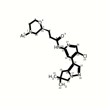 CC(=O)N1CCO[C@@H](CCC(=O)Nc2cc(-c3cnn4c3CC(C)(C)C4)c(Cl)cn2)C1